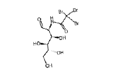 O=C[C@@H](NC(=O)C(Br)(Br)Br)[C@@H](O)[C@H](O)[C@H](O)CO